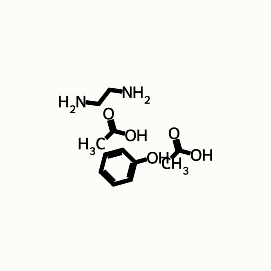 CC(=O)O.CC(=O)O.NCCN.Oc1ccccc1